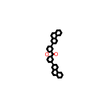 O=c1c2cc(-c3ccc4c(ccc5ccccc54)c3)ccc2oc2ccc(-c3ccc4c(ccc5ccccc54)c3)cc12